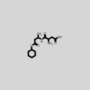 CC(CC(=O)OC1CCCCC1)NC(=O)C(N)CC(=O)O